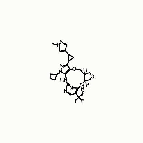 Cn1cc(C2CC2c2nn(C3CCC3)c3c2OC[C@@H]2COC[C@H]2Nc2nc(ncc2C(F)(F)F)N3)cn1